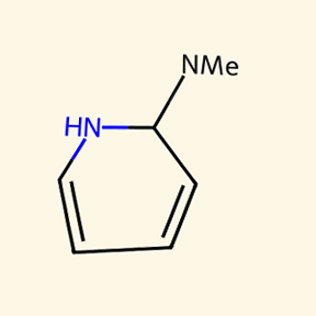 CNC1C=CC=CN1